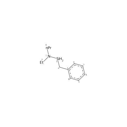 CCCN(CC)[SiH2]Cc1ccccc1